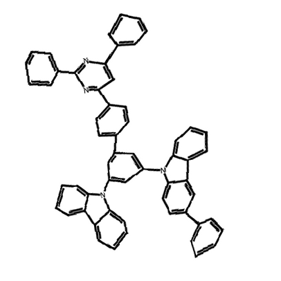 c1ccc(-c2ccc3c(c2)c2ccccc2n3-c2cc(-c3ccc(-c4cc(-c5ccccc5)nc(-c5ccccc5)n4)cc3)cc(-n3c4ccccc4c4ccccc43)c2)cc1